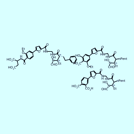 CCCCCC(C(=O)NCNC(=O)c1ccc(-c2cc(O)c(C(=O)O)c(OCC)c2)o1)[C@@H](CC)N(O)C=O.CCCCCC(C(=O)NCNC(=O)c1ccc(-c2ccc(C(=O)O)c(C(=O)O)c2)o1)[C@@H](CC)N(O)C=O.CCOc1cc(-c2ccc(C(=O)NCNC(=O)[C@H](CCc3ccccc3)[C@@H](CC)N(O)C=O)o2)ccc1C(=O)NC(CC(=O)O)C(=O)O